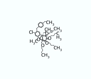 C=CC[C@@]1(c2cc(Cc3ccc(CC)cc3)c(Cl)cc2OC)O[C@H](COCCCC)[C@@H](OCCCC)[C@H](OCCCC)[C@H]1OCCCC